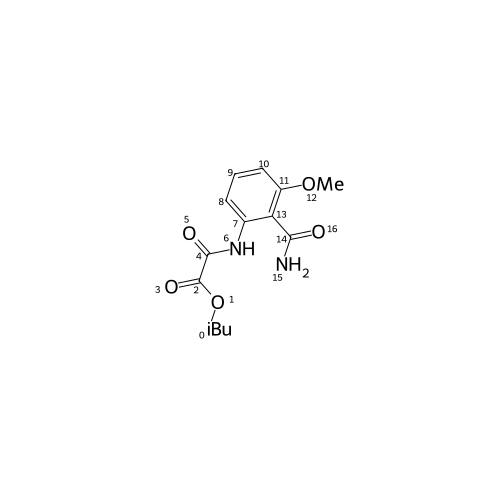 CCC(C)OC(=O)C(=O)Nc1cccc(OC)c1C(N)=O